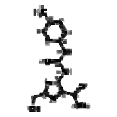 COC(=O)c1sc(CO)cc1NC(=O)Nc1ccc(C)cc1